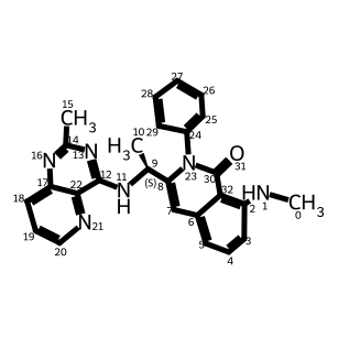 CNc1cccc2cc([C@H](C)Nc3nc(C)nc4cccnc34)n(-c3ccccc3)c(=O)c12